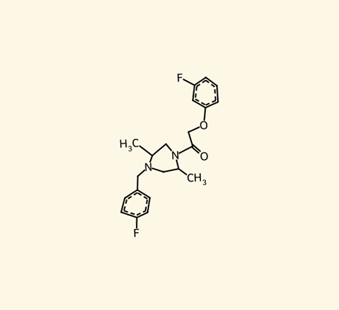 CC1CN(C(=O)COc2cccc(F)c2)C(C)CN1Cc1ccc(F)cc1